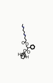 C/C=C/CC/C=C/CCC(=O)OCC(C(=O)O[C@H]1C[C@H]2CC[C@@H](C1)N2C)c1ccccc1